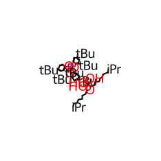 CC(C)(C)c1ccc(OP(Oc2ccc(C(C)(C)C)cc2C(C)(C)C)Oc2ccc(C(C)(C)C)cc2C(C)(C)C)c(C(C)(C)C)c1.CC(C)CCCCCCCOC(CCCCCCCC(C)C)C(CO)(CO)CO